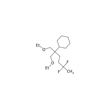 CCOCC(CCC(C)(F)F)(COCC)C1CCCCC1